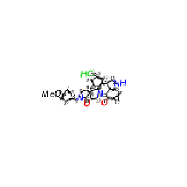 COc1ccc(CN2CCC3(CCN(C(C(=O)C4CC4)[C@@H]4CNC[C@@H]4c4ccccc4)CC3)C2=O)cc1.Cl